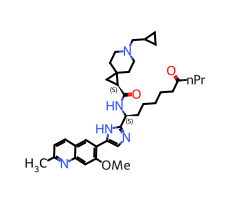 CCCC(=O)CCCCC[C@H](NC(=O)[C@H]1CC12CCN(CC1CC1)CC2)c1ncc(-c2cc3ccc(C)nc3cc2OC)[nH]1